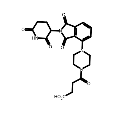 O=C(O)CCC(=O)N1CCN(c2cccc3c2C(=O)N(C2CCC(=O)NC2=O)C3=O)CC1